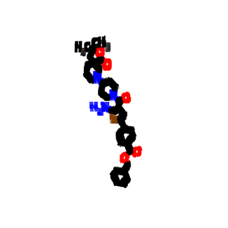 CC1(C)CC2(CCCN(C3CCN(C(=O)c4cc(-c5ccc(C(=O)OCc6ccccc6)cc5)sc4N)CC3)C2)C(=O)O1